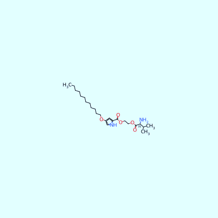 CCCCCCCCCCCCOc1c[nH]c(C(=O)OCCOC(=O)[C@@H](N)C(C)C)c1